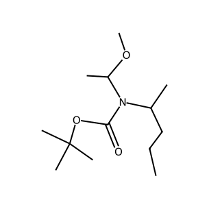 CCCC(C)N(C(=O)OC(C)(C)C)C(C)OC